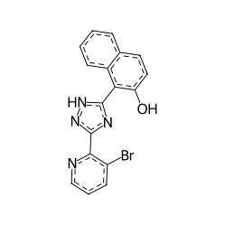 Oc1ccc2ccccc2c1-c1nc(-c2ncccc2Br)n[nH]1